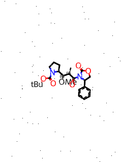 CO[C@@H](C1CCCN1C(=O)OC(C)(C)C)[C@@H](C)C(=O)N1C(=O)OCC1c1ccccc1